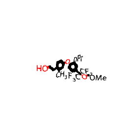 CCCc1cc(C(OCOC)(C(F)(F)F)C(F)(F)F)ccc1Oc1ccc(CCO)c(C)c1